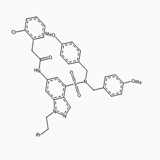 COc1ccc(CN(Cc2ccc(OC)cc2)S(=O)(=O)c2cc(NC(=O)Cc3ccccc3Cl)cc3c2cnn3CCC(C)C)cc1